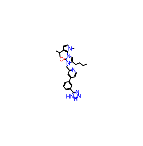 CCCCc1cn(-c2c(C(C)C)ccn2C)c(=O)n1Cc1cc(-c2cccc(-c3nnn[nH]3)c2)ccn1